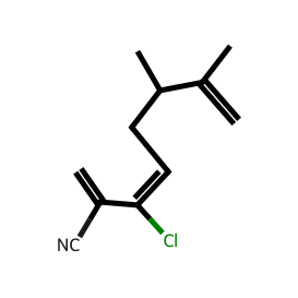 C=C(C#N)/C(Cl)=C\CC(C)C(=C)C